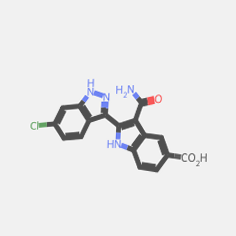 NC(=O)c1c(-c2n[nH]c3cc(Cl)ccc23)[nH]c2ccc(C(=O)O)cc12